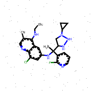 BC(Nc1cc(Cl)c2ncc(C#N)c(NCC(C)(C)C)c2c1)(c1cccnc1F)C1CN(C2CC2)NN1